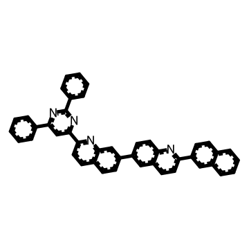 c1ccc(-c2cc(-c3ccc4ccc(-c5ccc6nc(-c7ccc8ccccc8c7)ccc6c5)cc4n3)nc(-c3ccccc3)n2)cc1